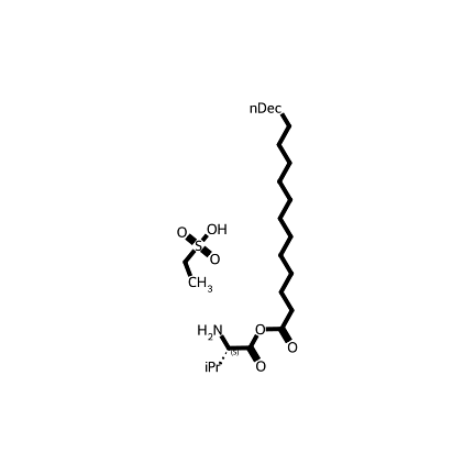 CCCCCCCCCCCCCCCCCCCCCC(=O)OC(=O)[C@@H](N)C(C)C.CCS(=O)(=O)O